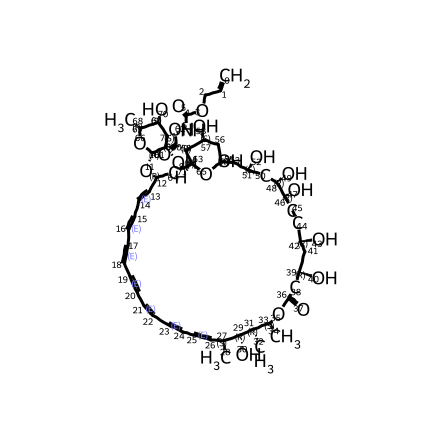 C=CCOC(=O)N[C@@H]1[C@H](O)[C@H](O[C@H]2/C=C/C=C/C=C/C=C/C=C/C=C/C=C/[C@H](C)[C@@H](O)[C@@H](C)[C@H](C)OC(=O)C[C@H](O)C[C@H](O)CC[C@@H](O)[C@H](O)C[C@H](O)C[C@]3(O)C[C@H](O)[C@@H](C(=O)O)[C@H](C2)O3)O[C@H](C)[C@H]1O